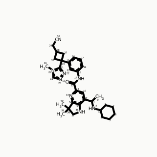 CC(NC1CCCCC1)c1cc(C(=O)Nc2cccc(C3(c4nncn4C)CC(CC#N)C3)c2)nc2c1NCC2(C)C